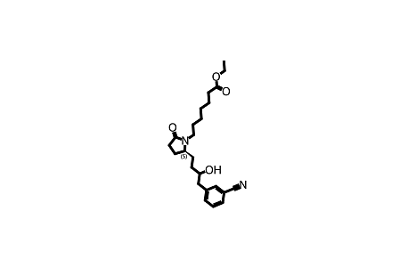 CCOC(=O)CCCCCCN1C(=O)CC[C@@H]1CCC(O)Cc1cccc(C#N)c1